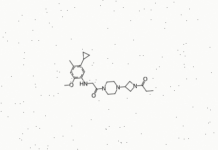 CCC(=O)N1CC(N2CCN(C(=O)CNc3cc(C4CC4)c(C)cc3OC)CC2)C1